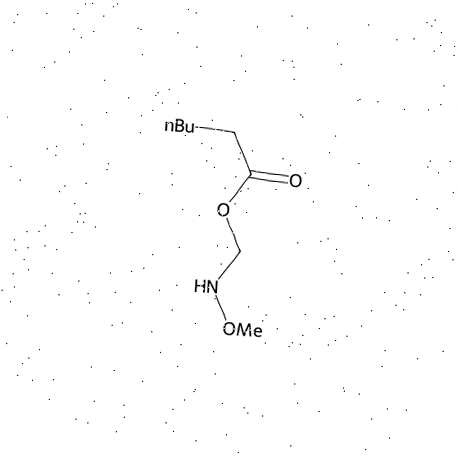 CCCCCC(=O)OCNOC